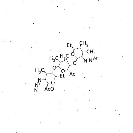 CCC1O[C@@H](OC(C)=O)C(N=[N+]=[N-])[C@@H](C)[C@@H]1O[C@@H]1O[C@@H](C(C)=O)[C@@H](O[C@H]2O[C@@H](CC)[C@@H](C)[C@H](C)C2N=[N+]=[N-])[C@H](C)C1C